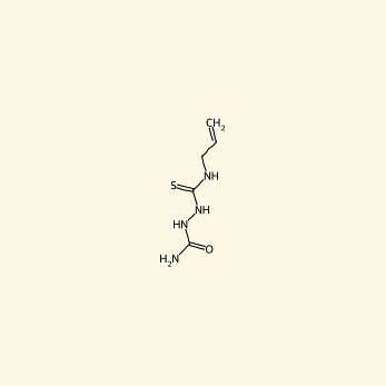 C=CCNC(=S)NNC(N)=O